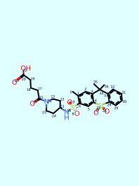 Cc1cc2c(cc1S(=O)(=O)NC1CCN(C(=O)CCCC(=O)O)CC1)S(=O)(=O)c1ccccc1C2(C)C